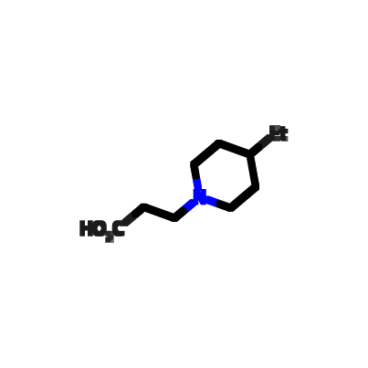 CCC1CCN(CCC(=O)O)CC1